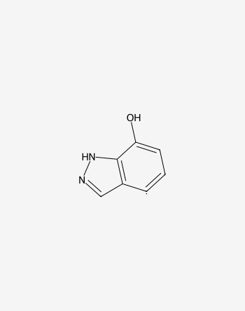 Oc1cc[c]c2cn[nH]c12